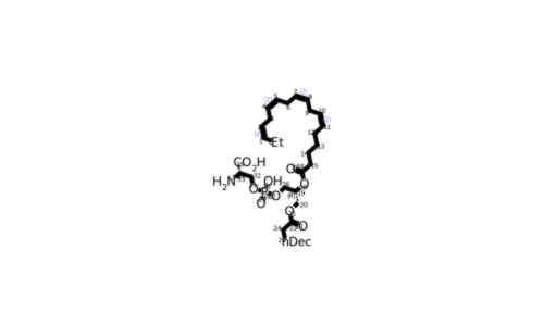 CC/C=C\C/C=C\C/C=C\C/C=C\CCCCC(=O)O[C@H](COC(=O)CCCCCCCCCCC)COP(=O)(O)OC[C@H](N)C(=O)O